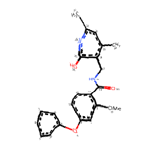 COc1cc(Oc2ccccc2)ccc1C(=O)NCc1c(C)cc(C)nc1O